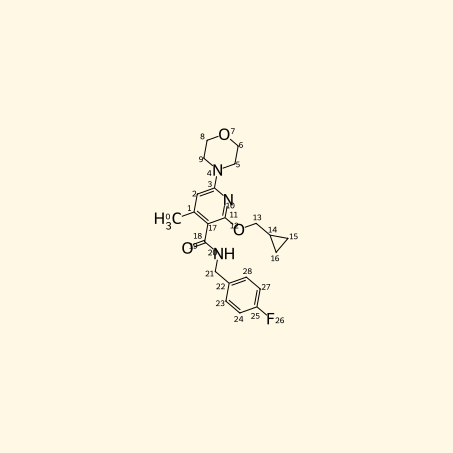 Cc1cc(N2CCOCC2)nc(OCC2CC2)c1C(=O)NCc1ccc(F)cc1